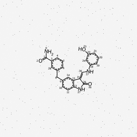 NC(=O)c1cccc(Cc2ccc3c(c2)C(=CNc2cccc(O)c2)C(=O)N3)c1